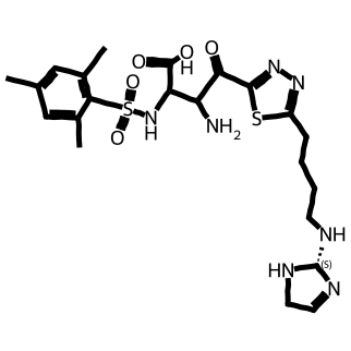 Cc1cc(C)c(S(=O)(=O)NC(C(=O)O)C(N)C(=O)c2nnc(CCCCN[C@@H]3N=CCN3)s2)c(C)c1